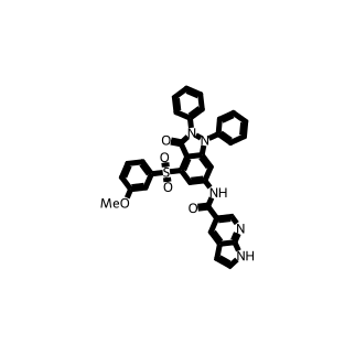 COc1cccc(S(=O)(=O)c2cc(NC(=O)c3cnc4[nH]ccc4c3)cc3c2c(=O)n(-c2ccccc2)n3-c2ccccc2)c1